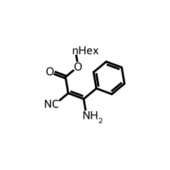 CCCCCCOC(=O)C(C#N)=C(N)c1ccccc1